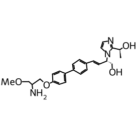 COCC(N)COc1ccc(-c2ccc(/C=C/[C@@H](CO)n3ccnc3[C@H](C)O)cc2)cc1